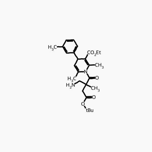 CCOC(=O)C1=C(C)N(C(=O)C(C)(CN)CC(=O)OC(C)(C)C)C(C)=CC1c1cccc(C)c1